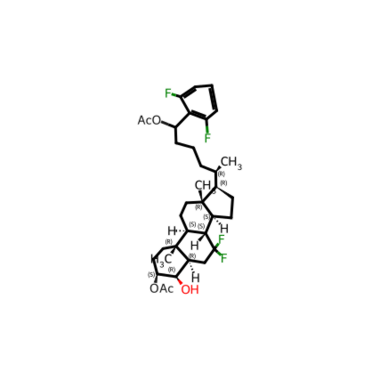 CC(=O)OC(CCC[C@@H](C)[C@H]1CC[C@H]2[C@H]3[C@H](CC[C@]12C)[C@@]1(C)CC[C@H](OC(C)=O)[C@H](O)[C@@H]1CC3(F)F)c1c(F)cccc1F